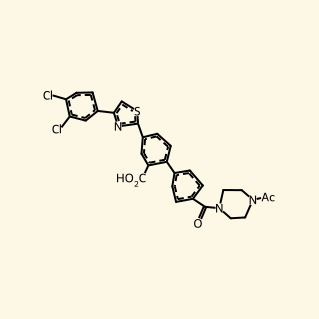 CC(=O)N1CCN(C(=O)c2ccc(-c3ccc(-c4nc(-c5ccc(Cl)c(Cl)c5)cs4)cc3C(=O)O)cc2)CC1